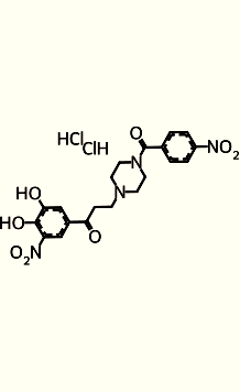 Cl.Cl.O=C(CCN1CCN(C(=O)c2ccc([N+](=O)[O-])cc2)CC1)c1cc(O)c(O)c([N+](=O)[O-])c1